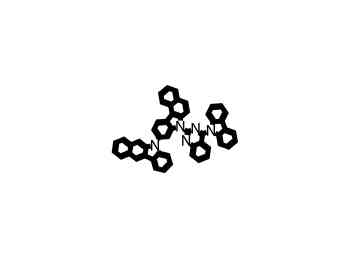 c1ccc2cc3c(cc2c1)c1ccccc1n3-c1ccc2c3c4ccccc4ccc3n(-c3nc(-n4c5ccccc5c5ccccc54)c4ccccc4n3)c2c1